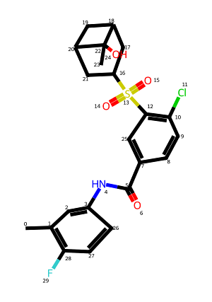 Cc1cc(NC(=O)c2ccc(Cl)c(S(=O)(=O)C3CC4CC(C3)C4(C)O)c2)ccc1F